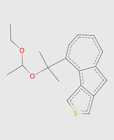 CCOC(C)OC(C)(C)c1ccccc2cc3cscc3c1-2